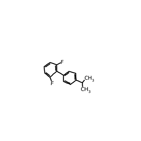 CC(C)c1ccc(-c2c(F)cccc2F)cc1